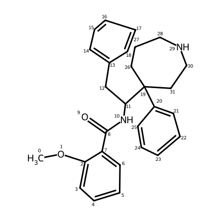 COc1ccccc1C(=O)NC(Cc1ccccc1)C1(c2ccccc2)CCCNCC1